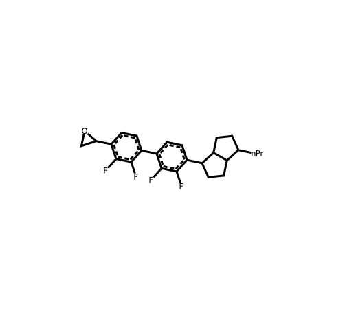 CCCC1CCC2C(c3ccc(-c4ccc(C5CO5)c(F)c4F)c(F)c3F)CCC12